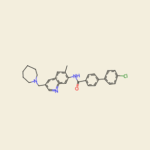 Cc1cc2cc(CN3CCCCCC3)cnc2cc1NC(=O)c1ccc(-c2ccc(Cl)cc2)cc1